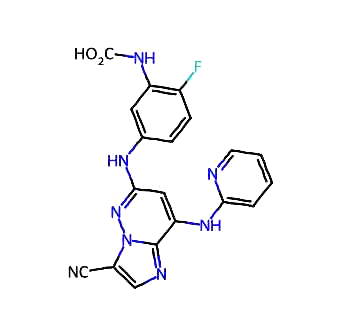 N#Cc1cnc2c(Nc3ccccn3)cc(Nc3ccc(F)c(NC(=O)O)c3)nn12